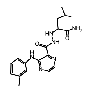 Cc1cccc(Nc2nccnc2C(=O)NNC(CC(C)C)C(N)=O)c1